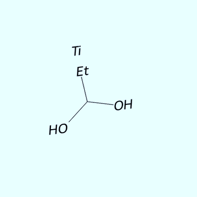 CCC(O)O.[Ti]